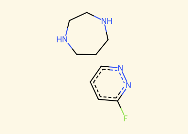 C1CNCCNC1.Fc1cccnn1